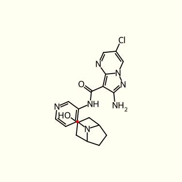 Nc1nn2cc(Cl)cnc2c1C(=O)Nc1cnccc1N1C2CCC1CC(O)C2